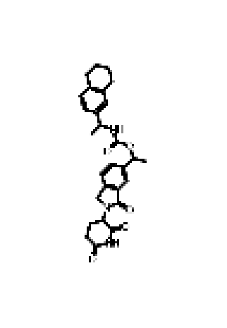 CC(NC(=O)OC(C)c1ccc2c(c1)C(=O)N(C1CCC(=O)NC1=O)C2)c1ccc2c(c1)CCCC2